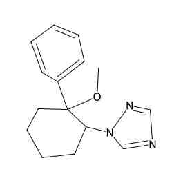 COC1(c2ccccc2)CCCCC1n1cncn1